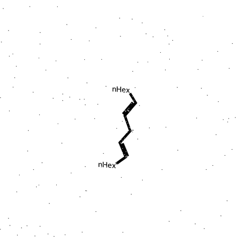 CCCCCCC=C[C]C=CCCCCCC